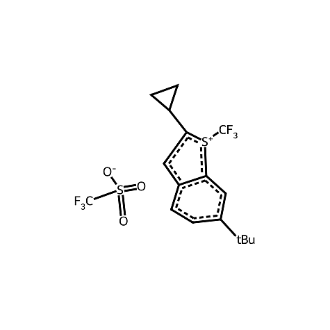 CC(C)(C)c1ccc2cc(C3CC3)[s+](C(F)(F)F)c2c1.O=S(=O)([O-])C(F)(F)F